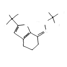 CC(C)(C)[S@@+]([O-])/N=C1/CCCc2cc(C(F)(F)F)oc21